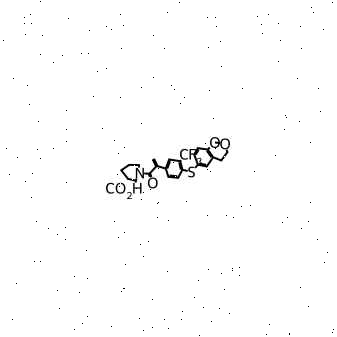 C=C(C(=O)N1CCCCC1C(=O)O)c1ccc(Sc2ccc3c(c2)CCOO3)c(C(F)(F)F)c1